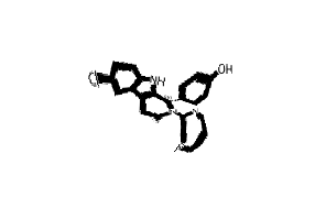 Oc1ccc([C@H]2c3[nH]c4ccc(Cl)cc4c3CCN2c2ncccn2)cc1